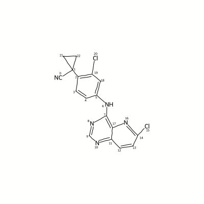 N#CC1(c2ccc(Nc3ncnc4ccc(Cl)nc34)cc2Cl)CC1